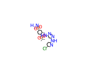 CC(C)S(=O)(=O)c1ccc(S(N)(=O)=O)cc1CNc1cc(Nc2ccc(Cl)cn2)ncn1